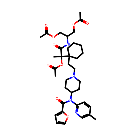 CC(=O)OCC(COC(C)=O)NC(=O)C(C)(OC(C)=O)C1(CCN2CCC(N(C(=O)c3ccco3)c3ccc(C)cn3)CC2)CCCCC1